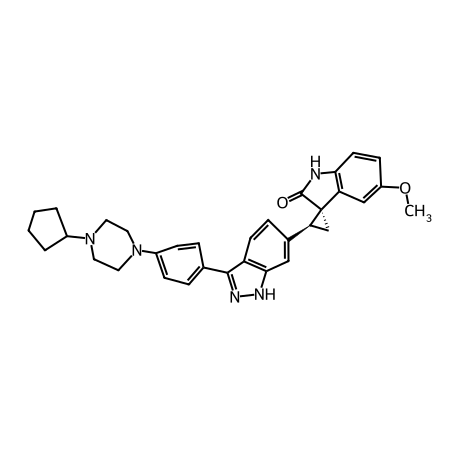 COc1ccc2c(c1)[C@]1(C[C@H]1c1ccc3c(-c4ccc(N5CCN(C6CCCC6)CC5)cc4)n[nH]c3c1)C(=O)N2